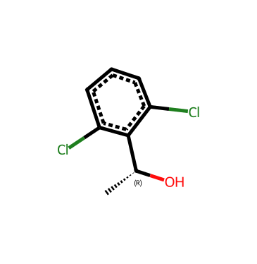 C[C@@H](O)c1c(Cl)cccc1Cl